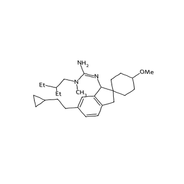 CCC(CC)CN(C)/C(N)=N\C1c2cc(CCC3CC3)ccc2CC12CCC(OC)CC2